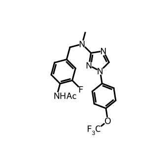 CC(=O)Nc1ccc(CN(C)c2ncn(-c3ccc(OC(F)(F)F)cc3)n2)cc1F